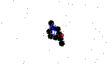 c1ccc(C2=NC(c3cccc(-c4cccc(-c5ccc6c(c5)c5cccc7oc8cc(-c9ccccc9)cc6c8c75)c4)c3)NC(c3ccccc3)=N2)cc1